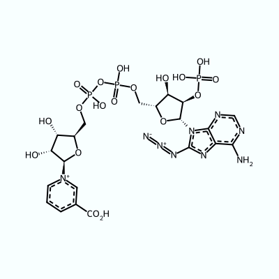 [N-]=[N+]=Nc1nc2c(N)ncnc2n1[C@@H]1O[C@H](COP(=O)(O)OP(=O)(O)OC[C@H]2O[C@@H]([n+]3cccc(C(=O)O)c3)[C@H](O)[C@@H]2O)[C@@H](O)[C@H]1OP(=O)(O)O